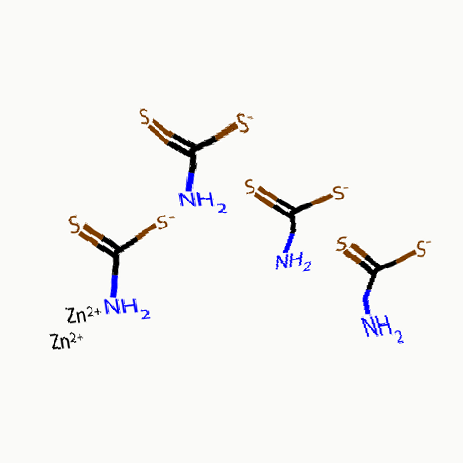 NC(=S)[S-].NC(=S)[S-].NC(=S)[S-].NC(=S)[S-].[Zn+2].[Zn+2]